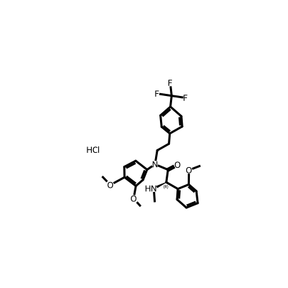 CN[C@@H](C(=O)N(CCc1ccc(C(F)(F)F)cc1)c1ccc(OC)c(OC)c1)c1ccccc1OC.Cl